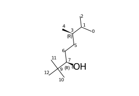 CC(C)[C@H](C)CC[C@@H](O)C(C)(C)C